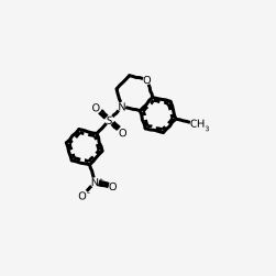 Cc1ccc2c(c1)OCCN2S(=O)(=O)c1cccc([N+](=O)[O-])c1